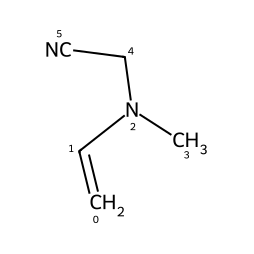 C=CN(C)CC#N